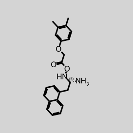 Cc1ccc(OCC(=O)ON[C@H](N)Cc2cccc3ccccc23)cc1C